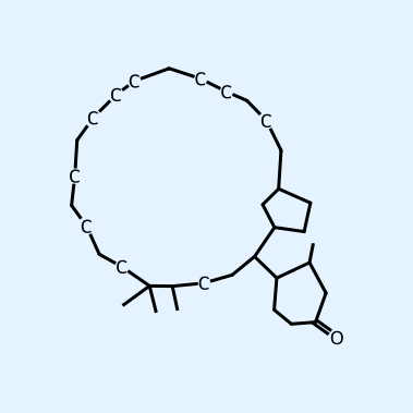 CC1CC(=O)CCC1C1CCC(C)C(C)(C)CCCCCCCCCCCCCCCC2CCC1C2